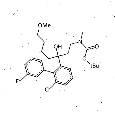 CCc1cccc(-c2c(Cl)cccc2C(O)(CCCCOC)CCN(C)C(=O)OC(C)(C)C)c1